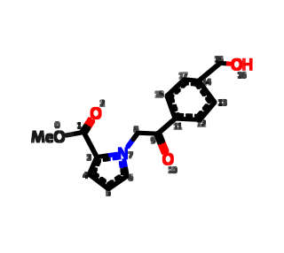 COC(=O)c1cccn1CC(=O)c1ccc(CO)cc1